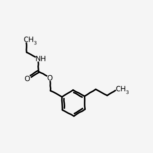 CCCc1cccc(COC(=O)NCC)c1